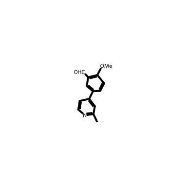 COc1ccc(-c2ccnc(C)c2)cc1C=O